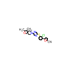 C[C@@H]1OCC2(CCN(c3cnc(Sc4cccc(-c5ccc(C#N)o5)c4Cl)cn3)CC2)[C@@H]1C